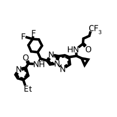 CCc1ccnc(C(=O)N[C@H](c2cn3ncc(C(NC(=O)CCC(F)(F)F)C4CC4)cc3n2)C2CCC(F)(F)CC2)c1